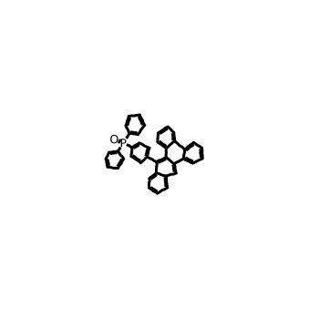 O=P(c1ccccc1)(c1ccccc1)c1ccc(-c2c3ccccc3cc3c4ccccc4c4ccccc4c23)cc1